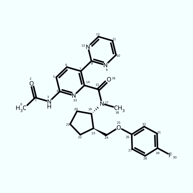 CC(=O)Nc1ccc(-c2ncccn2)c(C(=O)N(C)[C@H]2CCC[C@@H]2COc2ccc(F)cc2)n1